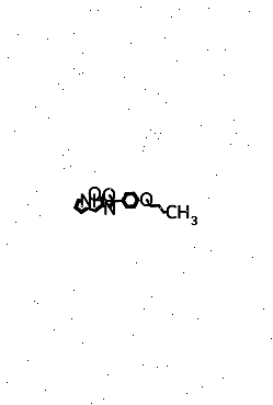 CCCCOc1ccc(C2=NC(=Cc3ccc[nH]3)C(=O)O2)cc1